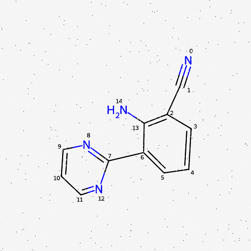 N#Cc1cccc(-c2ncccn2)c1N